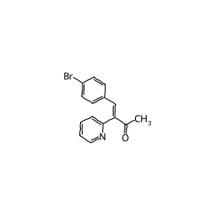 CC(=O)/C(=C/c1ccc(Br)cc1)c1ccccn1